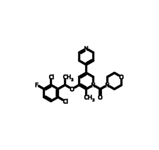 CC1=C(OC(C)c2c(Cl)ccc(F)c2Cl)C=C(C2=CCN=CC2)CN1C(=O)N1CCOCC1